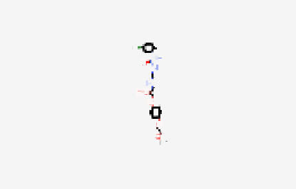 CC(C)OCCOc1ccc(OCC(O)CNCCNC(=O)Nc2cccc(Cl)c2)cc1